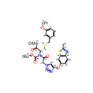 CCCOc1cccc(CSC[C@@H](C(=O)OC)N(C(=O)Cn2cc(Oc3ccc4nc(C)sc4c3)nn2)C(=O)OC(C)(C)C)c1